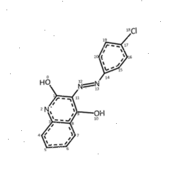 Oc1nc2ccccc2c(O)c1N=Nc1ccc(Cl)cc1